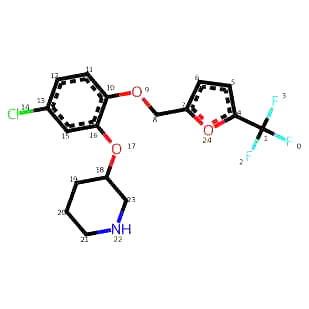 FC(F)(F)c1ccc(COc2ccc(Cl)cc2OC2CCCNC2)o1